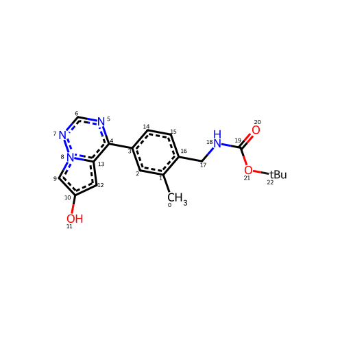 Cc1cc(-c2ncnn3cc(O)cc23)ccc1CNC(=O)OC(C)(C)C